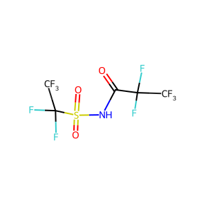 O=C(NS(=O)(=O)C(F)(F)C(F)(F)F)C(F)(F)C(F)(F)F